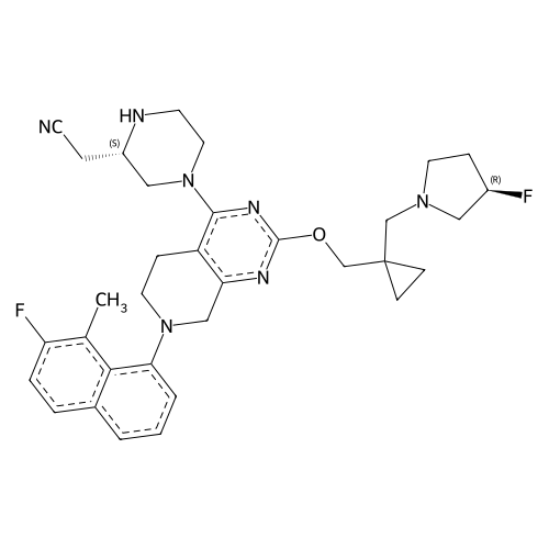 Cc1c(F)ccc2cccc(N3CCc4c(nc(OCC5(CN6CC[C@@H](F)C6)CC5)nc4N4CCN[C@@H](CC#N)C4)C3)c12